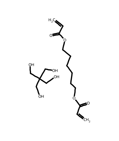 C=CC(=O)OCCCCCCOC(=O)C=C.OCC(CO)(CO)CO